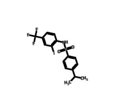 CC(C)c1ccc(S(=O)(=O)Nc2ccc(C(F)(F)F)cc2I)cc1